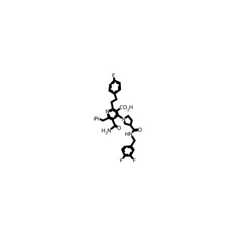 CC(C)Cc1nc(CCc2ccc(F)cc2)c(C(=O)O)c(N2CCC(C(=O)NCc3ccc(F)c(F)c3)C2)c1C(N)=O